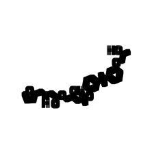 CC(O)COc1cccc(C(C)(C)c2cccc(OC(C)(C)CC(O)COC(=O)CNCc3ccco3)c2)c1